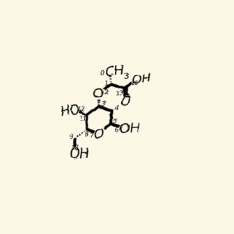 C[C@@H](O[C@@H]1CC(O)O[C@H](CO)[C@H]1O)C(=O)O